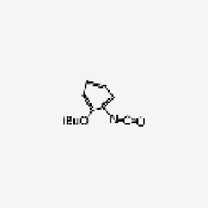 CC(C)COc1ccccc1N=C=O